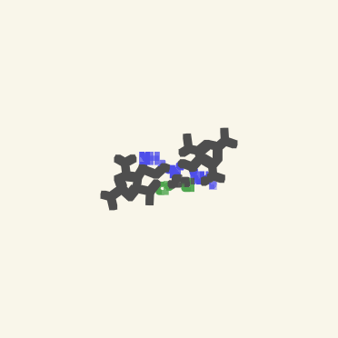 CC(C)c1cc(C(C)C)c(C(N)CC[N](CC(N)c2c(C(C)C)cc(C(C)C)cc2C(C)C)[Co]([Cl])[Cl])c(C(C)C)c1